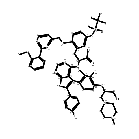 COc1ccccc1-c1nccc(COc2ccc(O[Si](C)(C)C(C)(C)C)cc2CC(Oc2ncnc3oc(-c4ccc(F)cc4)c(-c4ccc(OC(CO)CN5CCN(C)CC5)c(Cl)c4C)c23)C(=O)O)n1